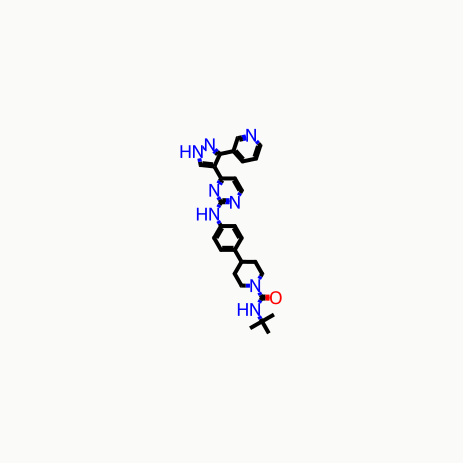 CC(C)(C)NC(=O)N1CCC(c2ccc(Nc3nccc(-c4c[nH]nc4-c4cccnc4)n3)cc2)CC1